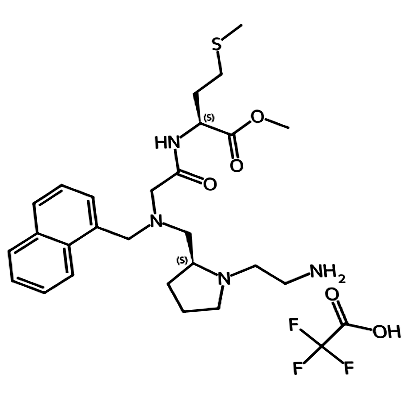 COC(=O)[C@H](CCSC)NC(=O)CN(Cc1cccc2ccccc12)C[C@@H]1CCCN1CCN.O=C(O)C(F)(F)F